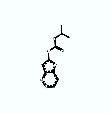 CC(C)NC(=O)Oc1cc2nnccc2s1